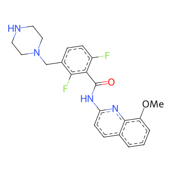 COc1cccc2ccc(NC(=O)c3c(F)ccc(CN4CCNCC4)c3F)nc12